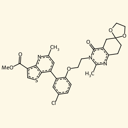 COC(=O)c1csc2c(-c3cc(Cl)ccc3OCCn3c(C)nc4c(c3=O)CC3(CC4)OCCO3)cc(C)nc12